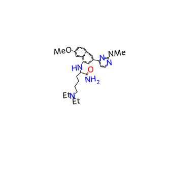 CCN(CC)CCCCC(Nc1cc(-c2ccnc(NC)n2)cc2ccc(OC)cc12)C(N)=O